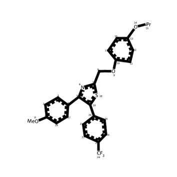 COc1ccc(-c2nc(COc3ccc(OC(C)C)cc3)sc2-c2ccc(C(F)(F)F)cc2)cc1